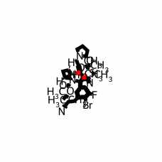 CSc1nc2c(F)c(Br)c(CCC#N)cc2c(N(C(=O)OC(C)(C)C)[C@H]2[C@H]3C[C@H]2N(C(=O)OC(C)(C)C)C3)c1C#CCN1CCCC1=O